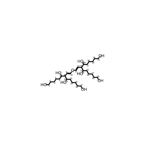 OCCCCCC(O)C(C=COC=CC(C(O)CCCCCO)C(O)CCCCCO)C(O)CCCCCO